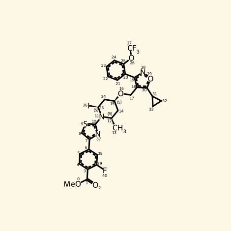 COC(=O)c1ccc(-c2csc(N3[C@H](C)C[C@H](OCc4c(-c5ccccc5OC(F)(F)F)noc4C4CC4)C[C@@H]3I)n2)cc1F